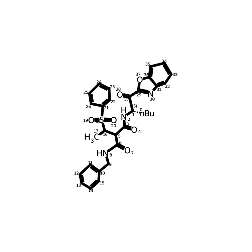 CCCC[C@H](NC(=O)C(C(=O)NCc1ccccc1)C(C)S(=O)(=O)c1ccccc1)C(=O)c1nc2ccccc2o1